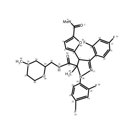 CNC(=O)c1ccc(C2C(c3ccc(F)cc3F)=NN(c3ccc(F)cc3F)C2(C)C(=O)NCC2CN(C)CCO2)o1